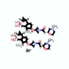 CN1CCO[C@H](CC(=O)N2CC(Oc3ccc4c(c3C(=O)O)C[B-](O)(O)[C@@H]3C[C@H]43)C2)C1.CN1CCO[C@H](CC(=O)N2CC(Oc3ccc4c(c3C(=O)O)C[B-](O)(O)[C@@H]3C[C@H]43)C2)C1.[Na+].[Na+]